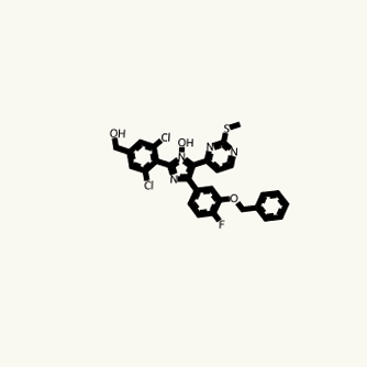 CSc1nccc(-c2c(-c3ccc(F)c(OCc4ccccc4)c3)nc(-c3c(Cl)cc(CO)cc3Cl)n2O)n1